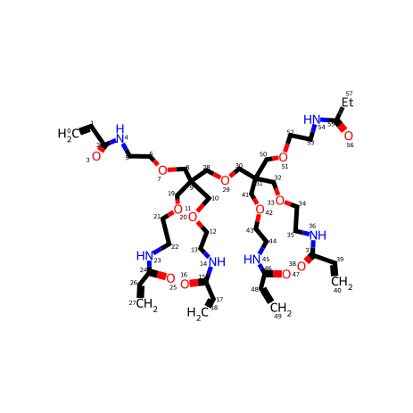 C=CC(=O)NCCOCC(COCCNC(=O)C=C)(COCCNC(=O)C=C)COCC(COCCNC(=O)C=C)(COCCNC(=O)C=C)COCCNC(=O)CC